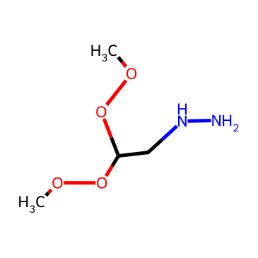 COOC(CNN)OOC